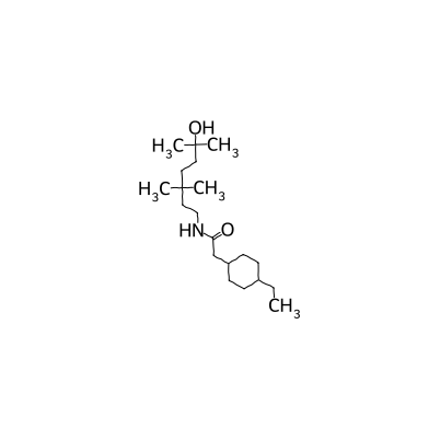 CCC1CCC(CC(=O)NCCC(C)(C)CCC(C)(C)O)CC1